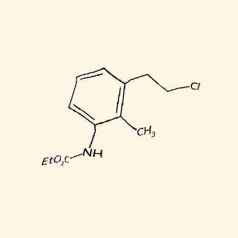 CCOC(=O)Nc1cccc(CCCl)c1C